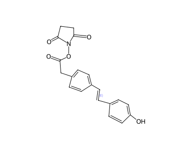 O=C(Cc1ccc(/C=C/c2ccc(O)cc2)cc1)ON1C(=O)CCC1=O